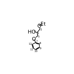 [CH2]COCC(O)COc1ccccc1